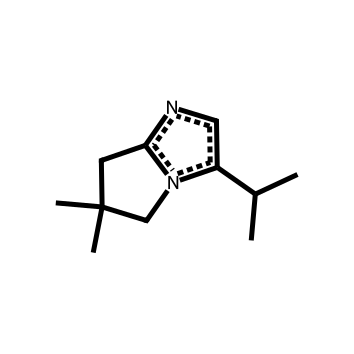 CC(C)c1cnc2n1CC(C)(C)C2